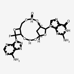 Nc1nc2c(ncn2C2O[C@H]3C[C@@H]2O[PH](=O)OCC2OC(F)(n4nnc5c(N)ncnc54)C2OPO3)c(=O)[nH]1